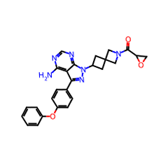 Nc1ncnc2c1c(-c1ccc(Oc3ccccc3)cc1)nn2C1CC2(C1)CN(C(=O)C1CO1)C2